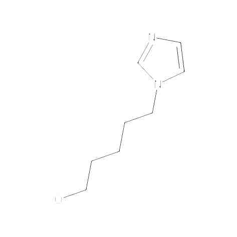 [O]CCCCCn1ccnc1